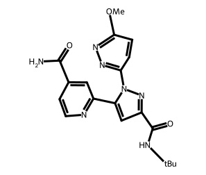 COc1ccc(-n2nc(C(=O)NC(C)(C)C)cc2-c2cc(C(N)=O)ccn2)nn1